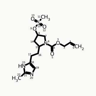 C=CCOC(=O)N1CC(OS(C)(=O)=O)CC1CCc1cnc(C)[nH]1